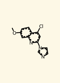 COc1ccc2c(Cl)cc(-n3ccnc3)nc2c1